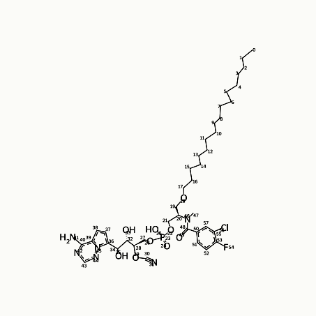 CCCCCCCCCCCCCCCCCCOC[C@H](COP(=O)(O)OC[C@@H](OC#N)[C@@H](O)[C@@H](O)c1ccc2c(N)ncnn12)N(C)C(=O)c1ccc(F)c(Cl)c1